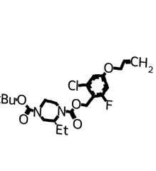 C=CCOc1cc(F)c(COC(=O)N2CCN(C(=O)OC(C)(C)C)C[C@H]2CC)c(Cl)c1